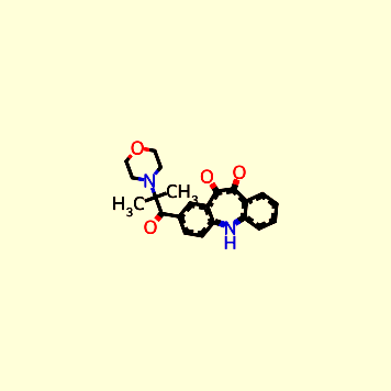 CC(C)(C(=O)c1ccc2[nH]c3ccccc3c(=O)c(=O)c2c1)N1CCOCC1